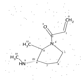 C=CC(=O)N1CCC[C@H](NC)C1C